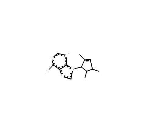 Nc1ncnc2c1ncn2C1C(F)=CC(O)C1O